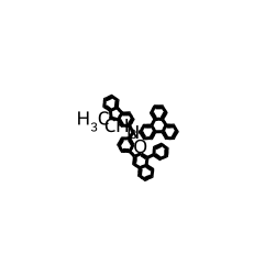 CC1(C)c2ccccc2-c2ccc(N(c3ccc4c5ccccc5c5ccccc5c4c3)c3cccc4c3oc3c(-c5ccccc5)c5ccccc5cc34)cc21